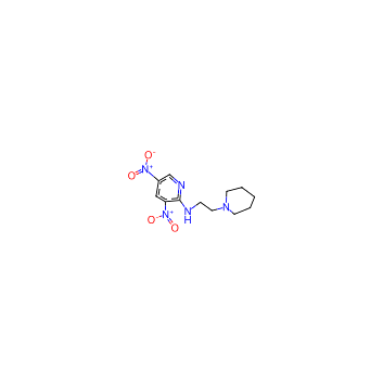 O=[N+]([O-])c1cnc(NCCN2CCCCC2)c([N+](=O)[O-])c1